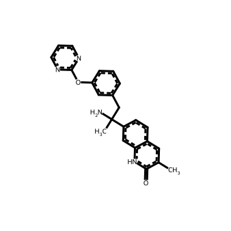 Cc1cc2ccc(C(C)(N)Cc3cccc(Oc4ncccn4)c3)cc2[nH]c1=O